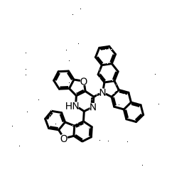 c1ccc2cc3c(cc2c1)c1cc2ccccc2cc1n3C1=NC(c2cccc3oc4ccccc4c23)Nc2c1oc1ccccc21